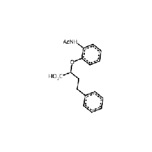 CC(=O)Nc1ccccc1OC(CCc1ccccc1)C(=O)O